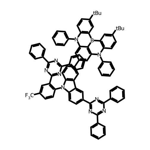 CC(C)(C)c1ccc2c(c1)B1c3cc(C(C)(C)C)ccc3N(c3ccccc3)c3cc(-c4ccc5c(c4)c4cc(-c6nc(-c7ccccc7)nc(-c7ccccc7)n6)ccc4n5-c4ccc(C(F)(F)F)cc4-c4nc(-c5ccccc5)nc(-c5ccccc5)n4)cc(c31)N2c1ccccc1